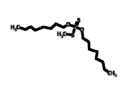 CCCCCCCCOP(=S)(OCCCCCCCC)SC